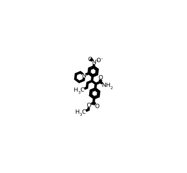 CCCC(c1ccc([N+](=O)[O-])cc1N1CCCCC1)C(C(N)=O)c1ccc(C(=O)OCC)cc1